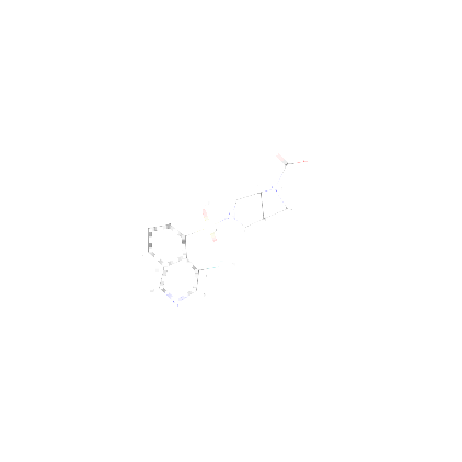 O=C(O)N1CC2CN(S(=O)(=O)c3cccc4cncc(F)c34)CC21